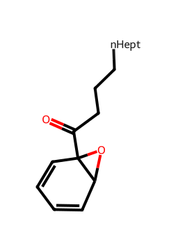 CCCCCCCCCCC(=O)C12C=CC=CC1O2